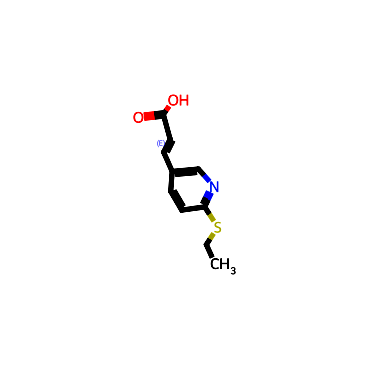 CCSc1ccc(/C=C/C(=O)O)cn1